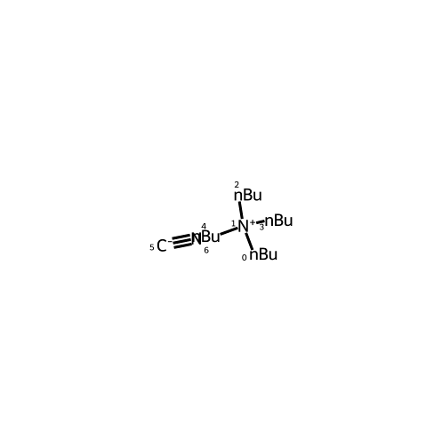 CCCC[N+](CCCC)(CCCC)CCCC.[C-]#N